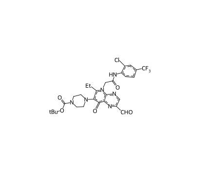 CCc1c(N2CCN(C(=O)OC(C)(C)C)CC2)c(=O)c2nc(C=O)cnc2n1CC(=O)Nc1ccc(C(F)(F)F)cc1Cl